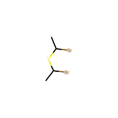 CC(Br)SC(C)Br